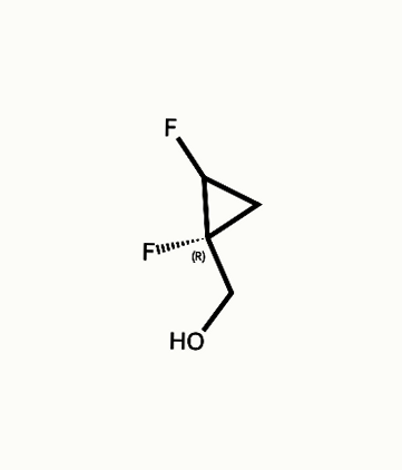 OC[C@]1(F)CC1F